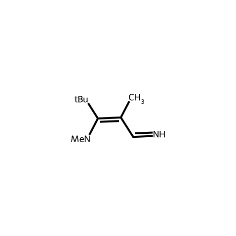 CN/C(=C(/C)C=N)C(C)(C)C